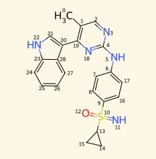 Cc1cnc(Nc2ccc(S(=N)(=O)C3CC3)cc2)nc1-c1c[nH]c2ccccc12